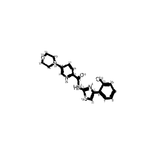 O=C(Nc1nc(-c2ccccc2Cl)cs1)c1ccc(N2CCOCC2)cn1